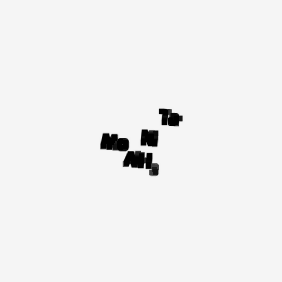 [AlH3].[Mo].[Ni].[Ta]